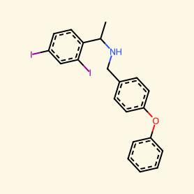 CC(NCc1ccc(Oc2ccccc2)cc1)c1ccc(I)cc1I